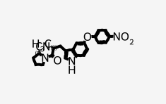 C[C@@H](Cc1c[nH]c2ccc(Oc3ccc([N+](=O)[O-])cc3)cc12)C(=O)N1CCC[C@H]1C#N